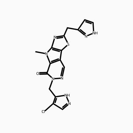 Cn1c2nc(Cc3cc[nH]n3)sc2c2cnn(Cc3[nH]ncc3Cl)c(=O)c21